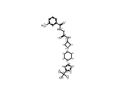 Cc1cccc(C(=O)NCC(=O)NC2CN([C@H]3CC[C@@H](c4noc(C(Cl)(Cl)Cl)n4)CC3)C2)c1